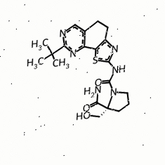 CC(C)(C)c1ncc2c(n1)-c1sc(NC(=O)N3CCC[C@@]3(CO)C(N)=O)nc1CC2